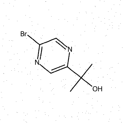 CC(C)(O)c1cnc(Br)cn1